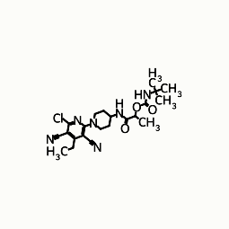 CCc1c(C#N)c(Cl)nc(N2CCC(NC(=O)C(C)OC(=O)NC(C)(C)C)CC2)c1C#N